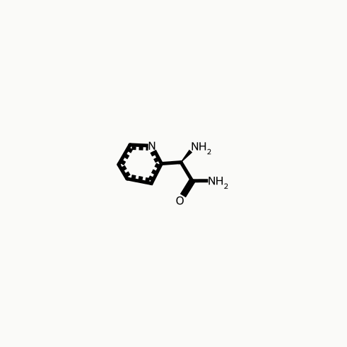 NC(=O)[C@H](N)c1ccccn1